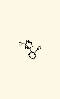 N#Cc1ccccc1-c1ncnc(Cl)n1